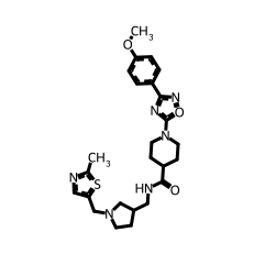 COc1ccc(-c2noc(N3CCC(C(=O)NCC4CCN(Cc5cnc(C)s5)C4)CC3)n2)cc1